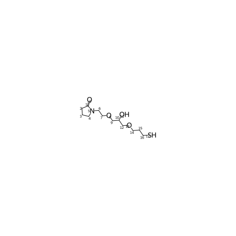 O=C1CCCN1CCOCC(O)COCCCS